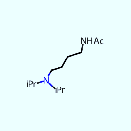 [CH2]C(=O)NCCCCN(C(C)C)C(C)C